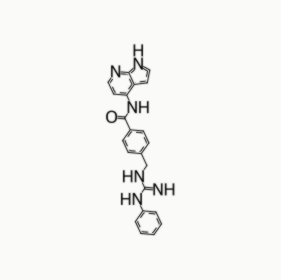 N=C(NCc1ccc(C(=O)Nc2ccnc3[nH]ccc23)cc1)Nc1ccccc1